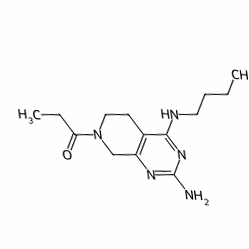 CCCCNc1nc(N)nc2c1CCN(C(=O)CC)C2